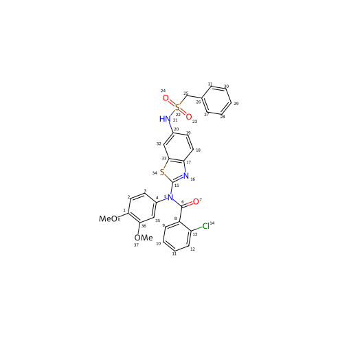 COc1ccc(N(C(=O)c2ccccc2Cl)c2nc3ccc(NS(=O)(=O)Cc4ccccc4)cc3s2)cc1OC